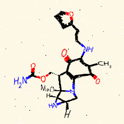 CO[C@@]12[C@H](COC(N)=O)C3=C(C(=O)C(C)=C(NCCc4ccco4)C3=O)N1C[C@@H]1N[C@@H]12